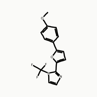 COc1ccc(-c2ccc(-c3nccn3C(F)(F)F)o2)cc1